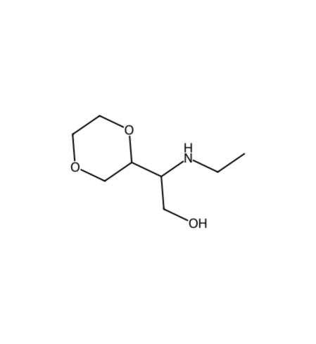 CCNC(CO)C1COCCO1